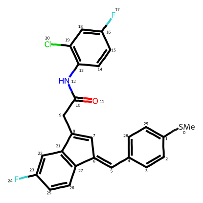 CSc1ccc(/C=C2\C=C(CC(=O)Nc3ccc(F)cc3Cl)c3cc(F)ccc32)cc1